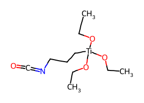 CC[O][Ti]([CH2]CCN=C=O)([O]CC)[O]CC